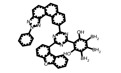 Bc1c(B)c(O)c(-c2nc(-c3ccc4ccc5ccc6nn(-c7ccccc7)nc6c5c4c3)nc(-c3cccc4oc5ccccc5c34)n2)c(O)c1B